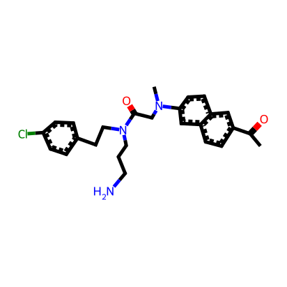 CC(=O)c1ccc2cc(N(C)CC(=O)N(CCCN)CCc3ccc(Cl)cc3)ccc2c1